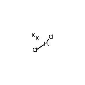 [Cl][Pt][Cl].[K].[K]